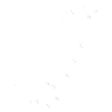 Cc1cc(N2CC(N3CC(N4CCC(n5nc(-c6ccc(Oc7ccccc7)cc6)c6c(N)ncnc65)C4)C3)C2)ccc1C(=O)N(C=O)C1CCC(=O)NC1=O